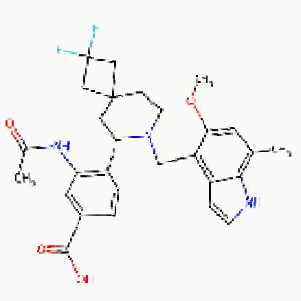 COc1cc(C)c2[nH]ccc2c1CN1CCC2(C[C@H]1c1ccc(C(=O)O)cc1NC(C)=O)CC(F)(F)C2